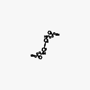 CC(C)(C)OC(=O)N1CCC[C@H]1C(=O)Nc1ccc(C#Cc2ccc(NC(=O)[C@@H]3CCCN3C(=O)OC(C)(C)C)cn2)nc1